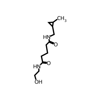 CC1CC1CNC(=O)CCCC(=O)NCCO